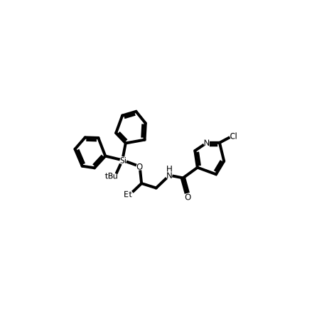 CCC(CNC(=O)c1ccc(Cl)nc1)O[Si](c1ccccc1)(c1ccccc1)C(C)(C)C